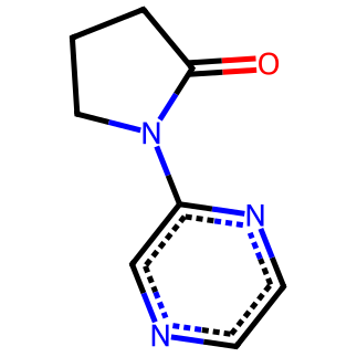 O=C1CCCN1c1cnccn1